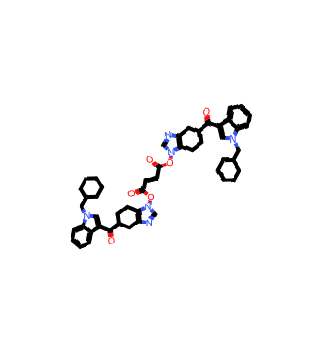 O=C(/C=C/C(=O)On1cnc2c1CCC(C(=O)c1cn(CC3CCCCC3)c3ccccc13)C2)On1cnc2c1CCC(C(=O)c1cn(CC3CCCCC3)c3ccccc13)C2